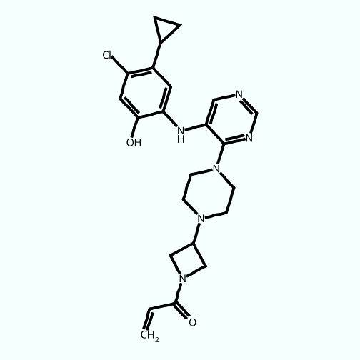 C=CC(=O)N1CC(N2CCN(c3ncncc3Nc3cc(C4CC4)c(Cl)cc3O)CC2)C1